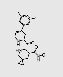 Cc1cc(C)cc(C2=CCNC(C(=O)[C@H]3NCC4(CC4)C[C@@H]3C(=O)NO)C2)c1